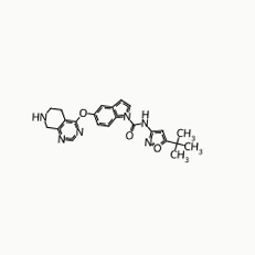 CC(C)(C)c1cc(NC(=O)n2ccc3cc(Oc4ncnc5c4CCNC5)ccc32)no1